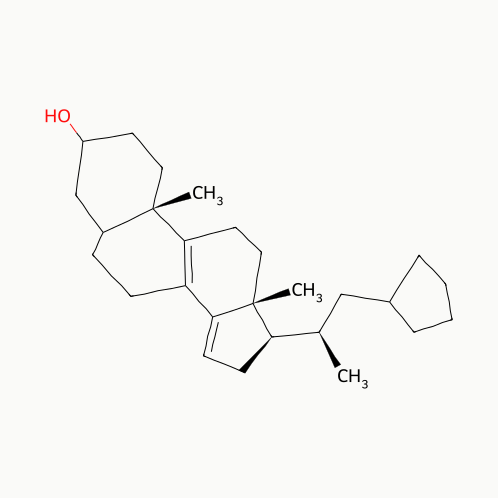 C[C@H](CC1CCCC1)[C@H]1CC=C2C3=C(CC[C@@]21C)[C@@]1(C)CCC(O)CC1CC3